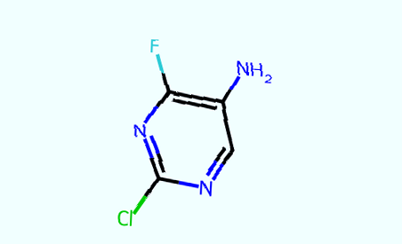 Nc1cnc(Cl)nc1F